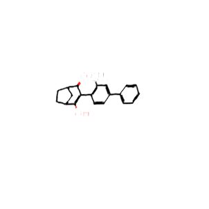 Cc1cc(-c2ccccc2)ccc1C1=C(O)C2CCC(C2)C1=O